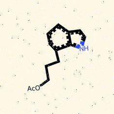 CC(=O)OCCCc1cccc2cc[nH]c12